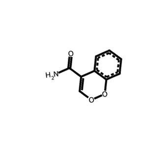 NC(=O)C1=COOc2ccccc21